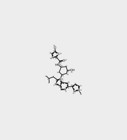 CC(C)Cc1nc2cnc(-c3ccn(C)n3)cc2n1C1CC(O)CC(NC(=O)c2ncc(Cl)s2)C1